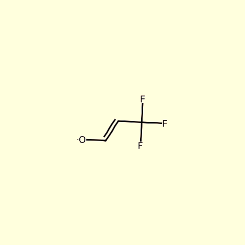 [O]C=CC(F)(F)F